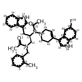 CC(=O)N(Cc1ccccc1C)C[C@@H](Cc1c[nH]c2ccccc12)N(C(C)=O)N1CC=C(c2c[nH]c3ccc(F)cc23)CC1